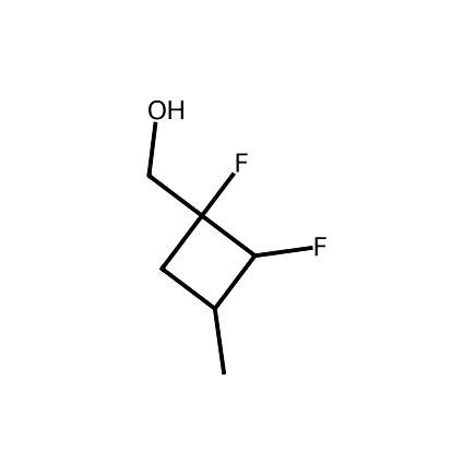 CC1CC(F)(CO)C1F